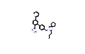 CCCCC1=NC2(CCCC2)C(=O)N1Cc1ccc(-c2cc(-c3ccccn3)ccc2-c2nn[nH]n2)cc1